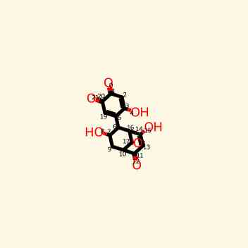 O=C1C=C(O)C(C2C(O)CC3C(=O)C=C(O)C2C3=O)=CC1=O